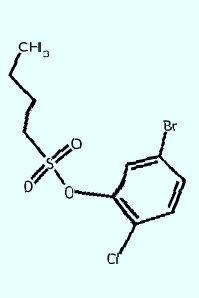 CCCCS(=O)(=O)Oc1cc(Br)ccc1Cl